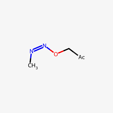 C/N=N\OCC(C)=O